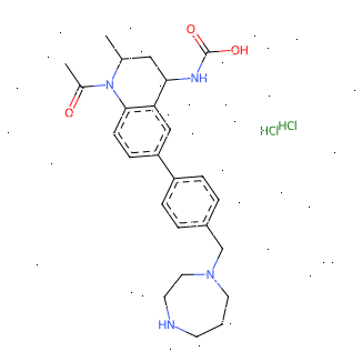 CC(=O)N1c2ccc(-c3ccc(CN4CCCNCC4)cc3)cc2C(NC(=O)O)CC1C.Cl.Cl